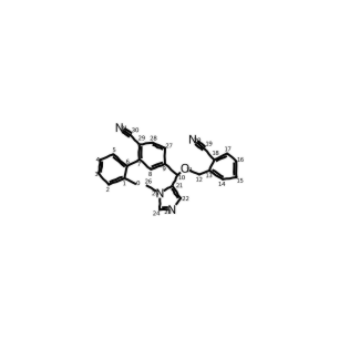 Cc1ccccc1-c1cc(C(OCc2ccccc2C#N)c2cncn2C)ccc1C#N